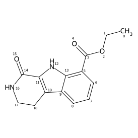 CCOC(=O)c1cccc2c3c([nH]c12)C(=O)NCC3